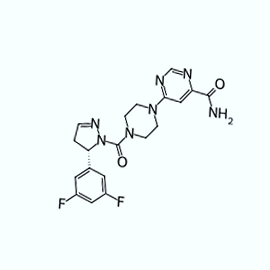 NC(=O)c1cc(N2CCN(C(=O)N3N=CC[C@H]3c3cc(F)cc(F)c3)CC2)ncn1